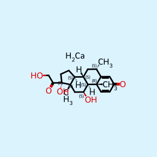 C[C@H]1C[C@@H]2[C@H]([C@@H](O)C[C@@]3(C)[C@H]2CC[C@]3(O)C(=O)CO)[C@@]2(C)C=CC(=O)C=C12.[CaH2]